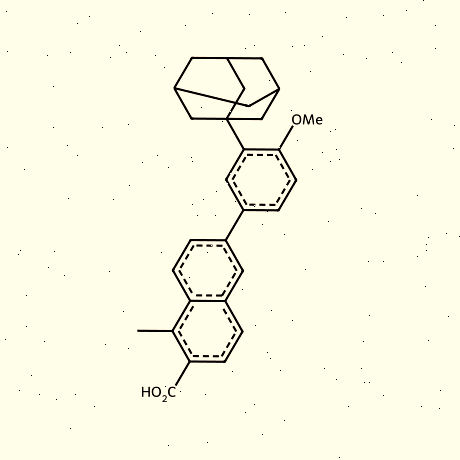 COc1ccc(-c2ccc3c(C)c(C(=O)O)ccc3c2)cc1C12CC3CC(CC(C3)C1)C2